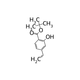 C=Cc1ccc(C(=O)OC(C)(C)C)c(O)c1